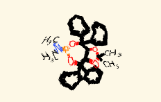 CN(C)P1OC(c2ccccc2)(c2ccccc2)C2OC(C)(C)OC2C(c2ccccc2)(c2ccccc2)O1